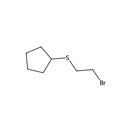 Br[CH]CSC1CCCC1